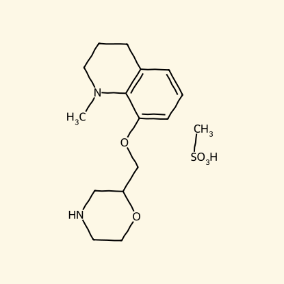 CN1CCCc2cccc(OCC3CNCCO3)c21.CS(=O)(=O)O